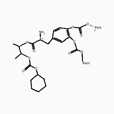 CCCC(C)OC(=O)Oc1cc(C[C@H](N)C(=O)OC(C)C(C)OC(=O)OC2CCCCC2)ccc1OC(=O)O[C@@H](C)CCC